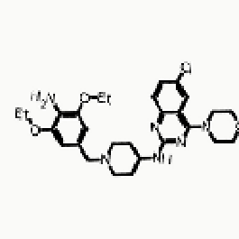 CCOc1cc(CN2CCC(Nc3nc(N4CCOCC4)c4cc(Cl)ccc4n3)CC2)cc(OCC)c1N